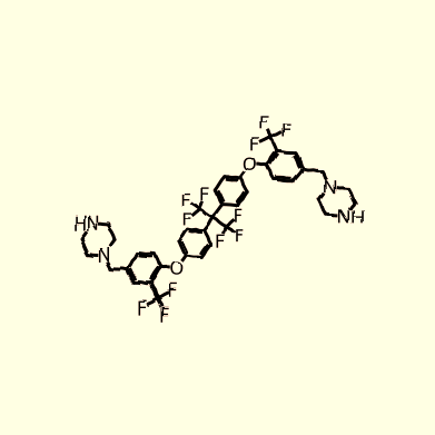 FC(F)(F)c1cc(CN2CCNCC2)ccc1Oc1ccc(C(c2ccc(Oc3ccc(CN4CCNCC4)cc3C(F)(F)F)cc2)(C(F)(F)F)C(F)(F)F)cc1